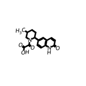 CC1CCC(c2ccc3[nH]c(=O)ccc3c2)N(C(=O)C(=O)O)C1